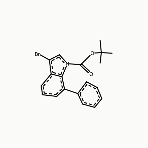 CC(C)(C)OC(=O)n1cc(Br)c2cccc(-c3ccccc3)c21